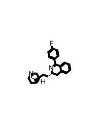 Fc1ccc(C2=N[C@@H](CC[C@@H]3CN4CCC3CC4)Cc3ccccc32)cc1